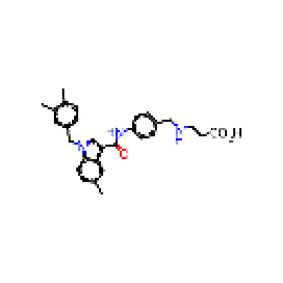 Cc1ccc2c(c1)c(C(=O)Nc1ccc(CNCCC(=O)O)cc1)cn2Cc1ccc(C)c(C)c1